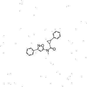 CN(C(=O)C1CC1c1ccccc1)c1cc(-c2ccccc2)no1